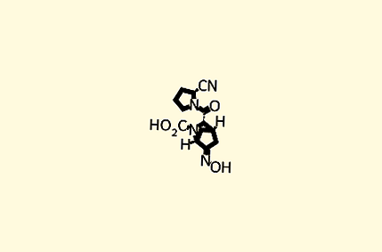 N#C[C@@H]1CCCN1C(=O)[C@@H]1[C@@H]2CC(=NO)[C@@H](C2)N1C(=O)O